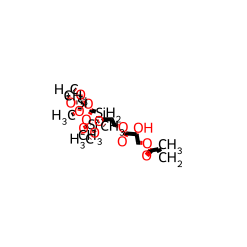 C=C(C)C(=O)OCC(O)C(=O)OCCC[SiH2]C(O[Si](OC)(OC)OC)O[Si](OC)(OC)OC